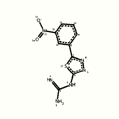 N=C(N)Nc1nnc(-c2cccc([N+](=O)[O-])c2)s1